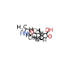 CC1=C2C[C@H]3C(CC[C@@H]4CC(=O)/C(=C/O)C[C@@]43C)[C@@H]2CC[C@]12O[C@@H]1C[C@H](C)CN[C@H]1[C@H]2C